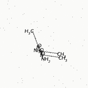 CCCCCCCCC=CCCCCCCCC(=O)N(CCCN)CCCCN(CCCN(CCCN)C(=O)CCCCCCCC=CCCCCCCCC)C(=O)CCCCCCCC=CCCCCCCCC